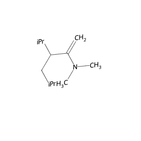 C=C(C(CC(C)C)C(C)C)N(C)C